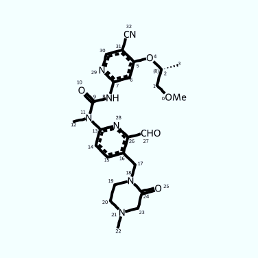 COC[C@@H](C)Oc1cc(NC(=O)N(C)c2ccc(CN3CCN(C)CC3=O)c(C=O)n2)ncc1C#N